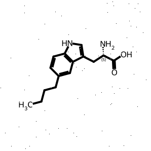 CCCCc1ccc2[nH]cc(C[C@H](N)C(=O)O)c2c1